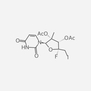 CC(=O)O[C@H]1[C@@](C)(OC(C)=O)[C@H](n2ccc(=O)[nH]c2=O)O[C@]1(F)CI